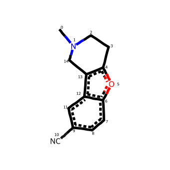 CN1CCc2oc3ccc(C#N)cc3c2C1